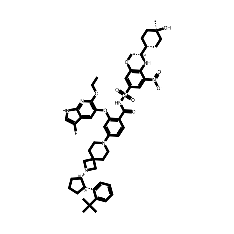 CCOc1nc2[nH]cc(F)c2cc1Oc1cc(N2CCC3(CC2)CN([C@H]2CCC[C@H]2c2ccccc2C(C)(C)C)C3)ccc1C(=O)NS(=O)(=O)c1cc2c(c([N+](=O)[O-])c1)N[C@@H]([C@H]1CC[C@](C)(O)CC1)CO2